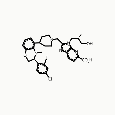 C[C@H](CO)Cn1c(CN2CCC(c3cccc4c3N(C)[C@@H](c3ccc(Cl)cc3F)CO4)CC2)nc2ccc(C(=O)O)nc21